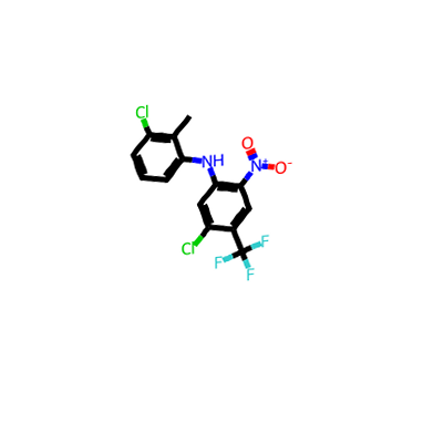 Cc1c(Cl)cccc1Nc1cc(Cl)c(C(F)(F)F)cc1[N+](=O)[O-]